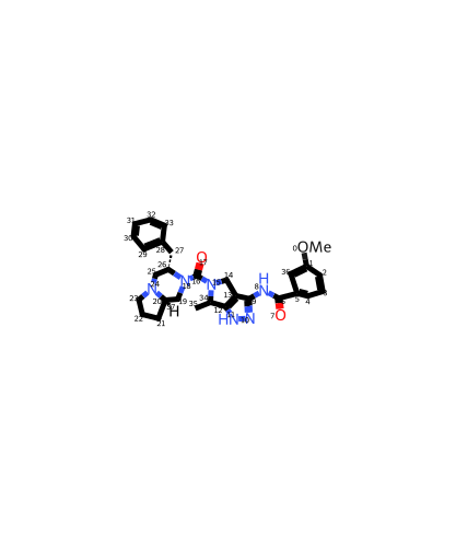 COc1cccc(C(=O)Nc2n[nH]c3c2CN(C(=O)N2C[C@@H]4CCCN4C[C@@H]2Cc2ccccc2)C3C)c1